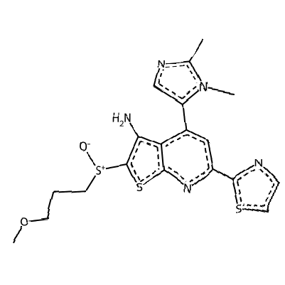 COCCC[S+]([O-])c1sc2nc(-c3nccs3)cc(-c3cnc(C)n3C)c2c1N